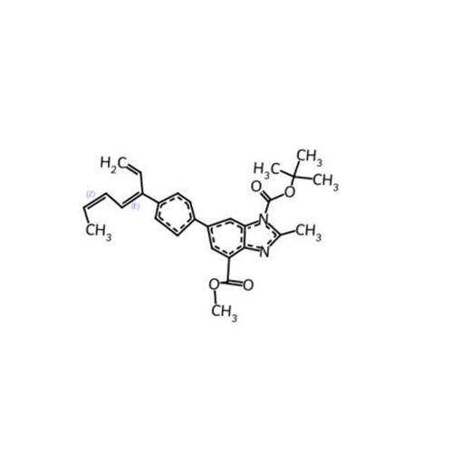 C=C/C(=C\C=C/C)c1ccc(-c2cc(C(=O)OC)c3nc(C)n(C(=O)OC(C)(C)C)c3c2)cc1